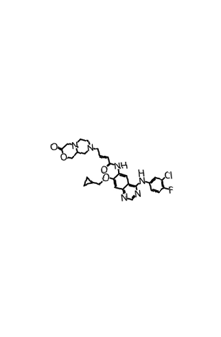 O=C(C=CCN1CCN2CC(=O)OCC2C1)Nc1cc2c(Nc3ccc(F)c(Cl)c3)ncnc2cc1OCC1CC1